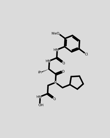 COc1ccc(Cl)cc1NC(=O)N[C@H](C(=O)N(CC(=O)NO)CC1CCCC1)C(C)C